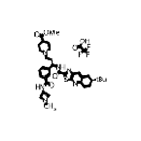 COC(=O)C1CCN(CC[C@@H](NC(=O)c2nc3cc4c(nc3s2)CC[C@H](C(C)(C)C)C4)c2cccc(C(=O)NC3CN(C)C3)c2)CC1.O=C(O)C(F)(F)F